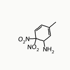 CC1=CC(N)C([N+](=O)[O-])([N+](=O)[O-])C=C1